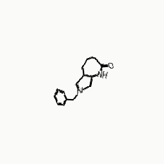 O=C1CCCC2CN(Cc3ccccc3)CC2N1